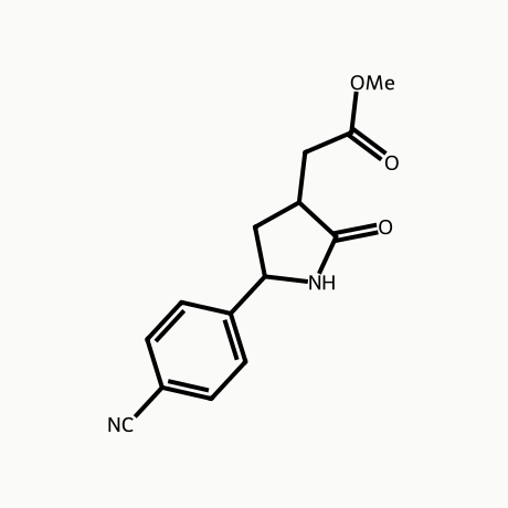 COC(=O)CC1CC(c2ccc(C#N)cc2)NC1=O